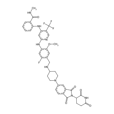 CNC(=O)c1ccccc1Nc1cc(Nc2cc(F)c(CNC3CCN(c4ccc5c(c4)C(=O)N(C4CCC(=O)NC4=O)C5=O)CC3)cc2OC)ncc1C(F)(F)F